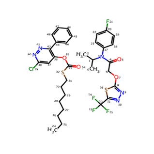 CC(C)N(C(=O)COc1nnc(C(F)(F)F)s1)c1ccc(F)cc1.CCCCCCCCSC(=O)Oc1cc(Cl)nnc1-c1ccccc1